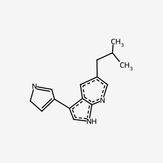 CC(C)Cc1cnc2[nH]cc(C3=CCN=C3)c2c1